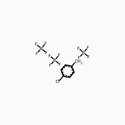 Cc1ccc(Cl)cc1.F[B-](F)(F)F.F[B-](F)(F)F.F[B-](F)(F)F